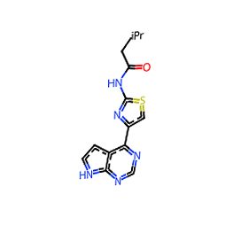 CC(C)CC(=O)Nc1nc(-c2ncnc3[nH]ccc23)cs1